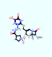 CO[C@H]1C(=O)N2C=C(CSc3nc(=O)c(O)nn3C)CS[C@@H]12.NC(=O)C1CC[N+]([O-])([O-])C1